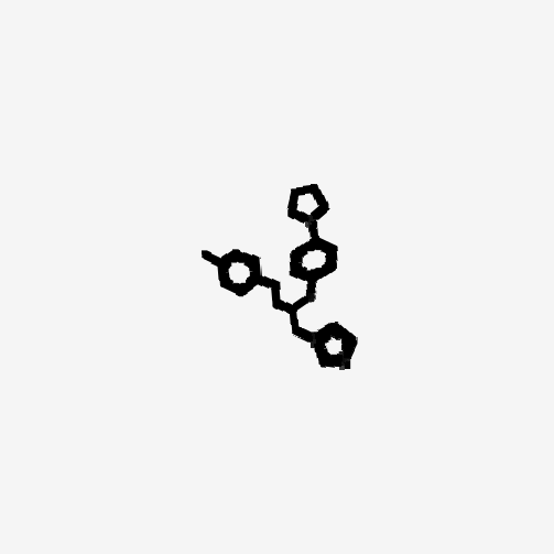 Cc1ccc(CCC(Cn2ccnc2)Sc2ccc(N3CCCC3)cc2)cc1